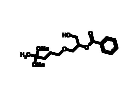 CO[Si](C)(CCCOCC(CO)OC(=O)c1ccccc1)OC